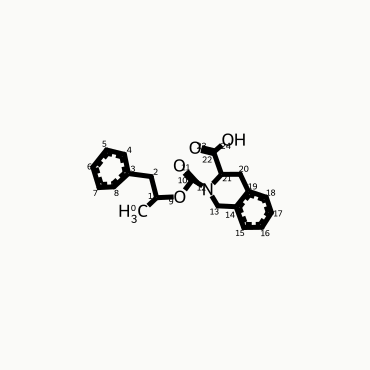 CC(Cc1ccccc1)OC(=O)N1Cc2ccccc2CC1C(=O)O